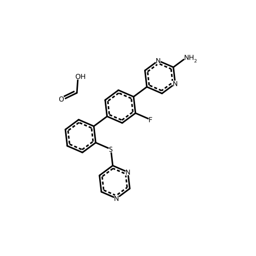 Nc1ncc(-c2ccc(-c3ccccc3Sc3ccncn3)cc2F)cn1.O=CO